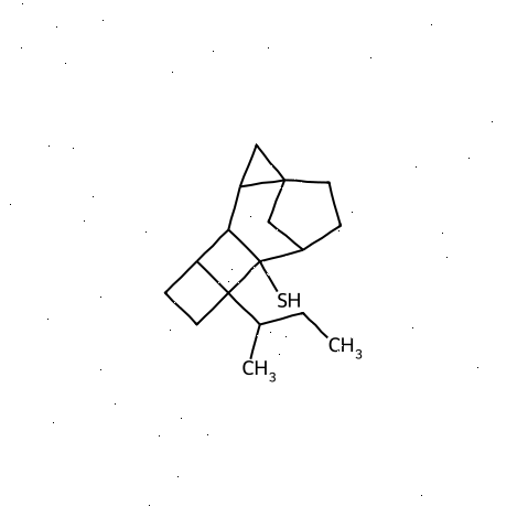 CCC(C)C12CCC1C1C3CC34CCC(C4)C12S